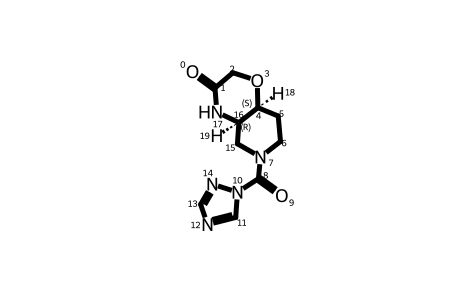 O=C1CO[C@H]2CCN(C(=O)n3cncn3)C[C@H]2N1